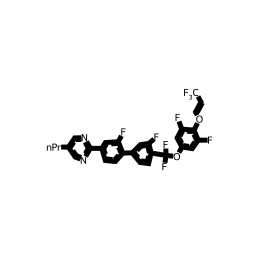 CCCc1cnc(-c2ccc(-c3ccc(C(F)(F)Oc4cc(F)c(O/C=C/C(F)(F)F)c(F)c4)c(F)c3)c(F)c2)nc1